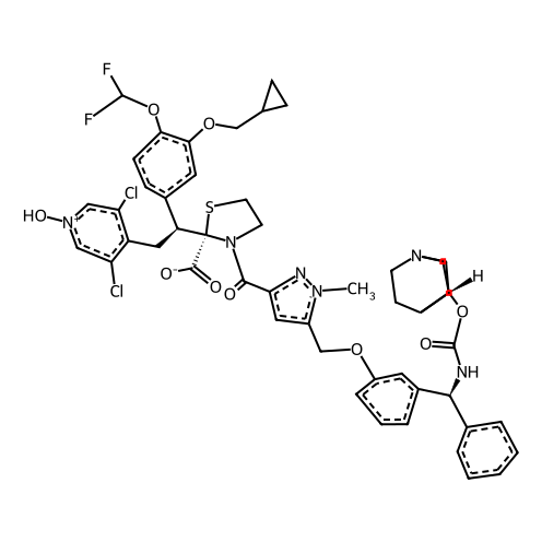 Cn1nc(C(=O)N2CCS[C@]2(C(=O)[O-])[C@@H](Cc2c(Cl)c[n+](O)cc2Cl)c2ccc(OC(F)F)c(OCC3CC3)c2)cc1COc1cccc([C@@H](NC(=O)O[C@H]2CN3CCC2CC3)c2ccccc2)c1